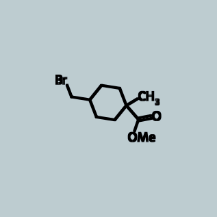 COC(=O)C1(C)CCC(CBr)CC1